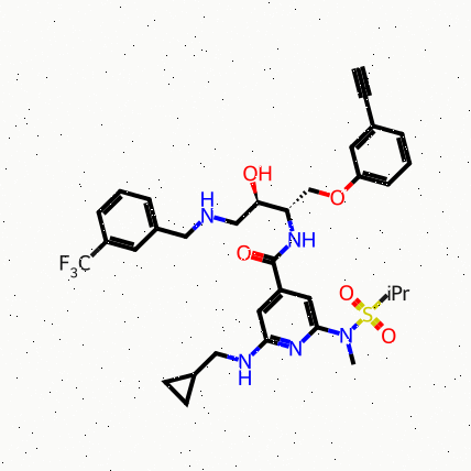 C#Cc1cccc(OC[C@H](NC(=O)c2cc(NCC3CC3)nc(N(C)S(=O)(=O)C(C)C)c2)[C@H](O)CNCc2cccc(C(F)(F)F)c2)c1